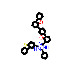 c1ccc(C2NC(c3cccc4c3oc3cc(-c5cccc6c5oc5ccccc56)ccc34)=NC(c3ccc4sc5ccccc5c4c3)N2)cc1